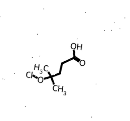 CC(C)(CCC(=O)O)OCl